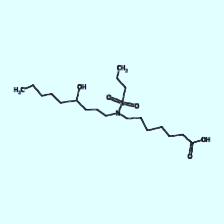 CCCCCC(O)CCCN(CCCCCCC(=O)O)S(=O)(=O)CCC